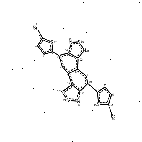 Brc1ccc(-c2cc3c(cc(-c4ccc(Br)s4)c4nsnc43)c3nsnc23)s1